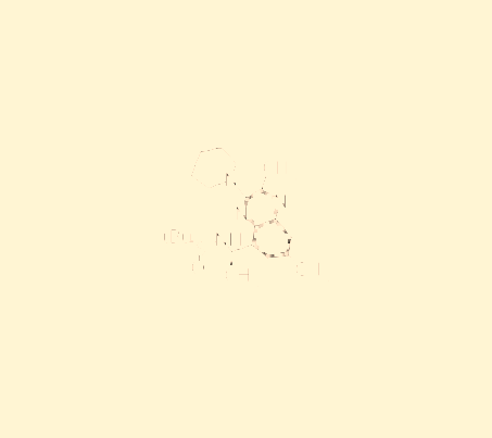 Cc1cc([C@@H](C)N[S@+]([O-])C(C)(C)C)c2nc(N3CCCCC3)c(C)nc2c1